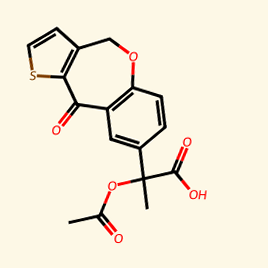 CC(=O)OC(C)(C(=O)O)c1ccc2c(c1)C(=O)c1sccc1CO2